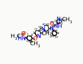 CC1=NC(Oc2ccc(N[S+](C)[O-])cc2C)=CCC1CN1CCC(N(C(=O)Nc2cnn(C)c2)c2ccccc2)CC1